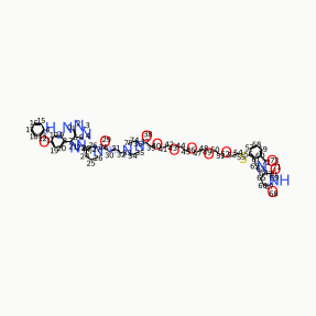 Nc1ncnc2c1c(-c1ccc(Oc3ccccc3)cc1)nn2[C@@H]1CCCN(C(=O)/C=C/CN2CCN(C(=O)COCCOCCOCCOCCOCCSc3cccc4c3CN(C3CCC(=O)NC3=O)C4=O)CC2)C1